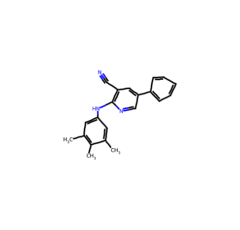 Cc1cc(Nc2ncc(-c3ccccc3)cc2C#N)cc(C)c1C